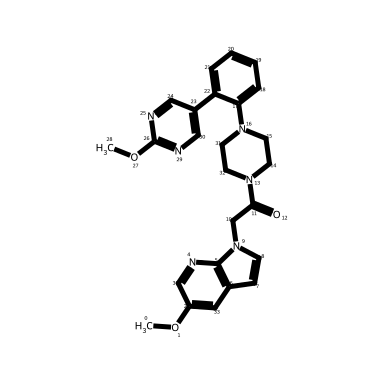 COc1cnc2c(ccn2CC(=O)N2CCN(c3ccccc3-c3cnc(OC)nc3)CC2)c1